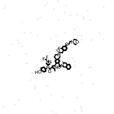 Cc1c(C(=O)N(c2ccc(O)cc2)c2cnn(C(F)F)c2)cc(-c2cc3c(cc2C(=O)N2Cc4ccccc4C[C@H]2C)CN(C(=O)Cc2ccc(OCCN4CCOCC4)cc2F)CC3)n1C